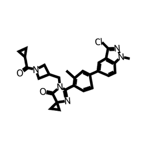 Cc1cc(-c2ccc3c(c2)c(Cl)nn3C)ccc1C1=NC2(CC2)C(=O)N1CC1CN(C(=O)C2CC2)C1